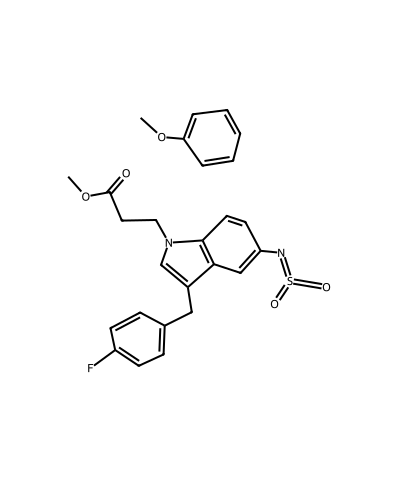 COC(=O)CCn1cc(Cc2ccc(F)cc2)c2cc(N=S(=O)=O)ccc21.COc1ccccc1